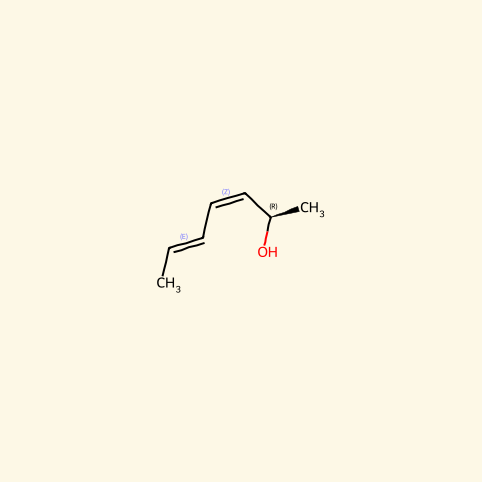 C/C=C/C=C\[C@@H](C)O